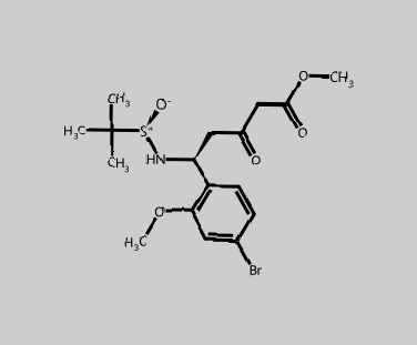 COC(=O)CC(=O)C[C@H](N[S@+]([O-])C(C)(C)C)c1ccc(Br)cc1OC